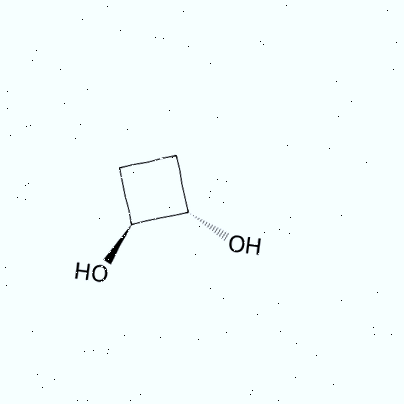 O[C@H]1CC[C@@H]1O